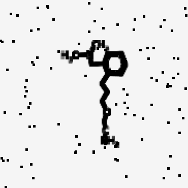 CN(C)Cc1ccccc1CCCOCCN